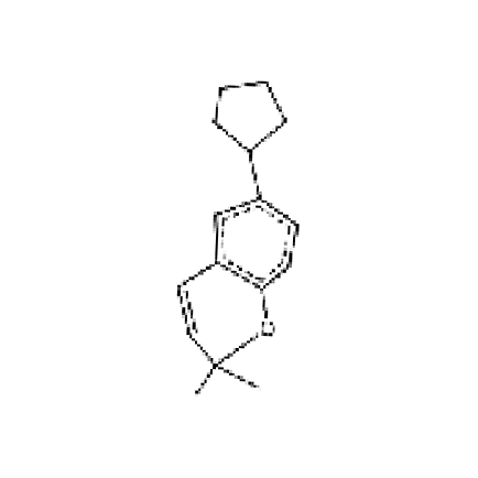 CC1(C)C=Cc2cc(C3CCCC3)ccc2O1